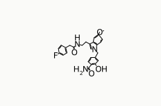 COc1ccc2c(c1)c(CCNC(=O)Cc1ccc(F)cc1)cn2Cc1ccc(C(N)=O)c(O)c1